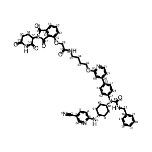 N#Cc1ccc(N[C@H]2CC[C@H](N(C(=O)NCc3ccccc3)c3ccc(-c4ccnc(OCCCCNC(=O)COc5cccc6c5C(=O)N(C5CCC(=O)NC5=O)C6=O)c4)cc3)CC2)nc1